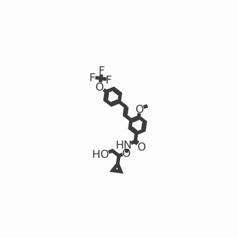 COc1ccc(C(=O)NOC(CO)C2CC2)cc1C=Cc1ccc(OC(F)(F)F)cc1